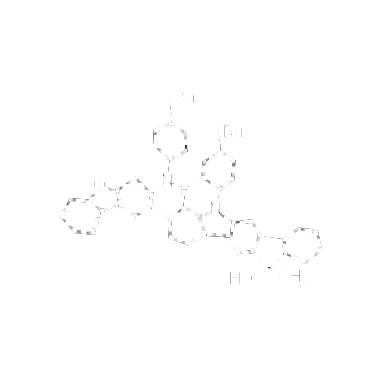 CC(C)(C)c1ccc(N2B3c4cc(C(C)(C)C)ccc4-n4c5cc6c(cc5c5ccc(c3c54)-c3cc4c(cc32)oc2ccccc24)C(C)(C)c2ccccc2-6)cc1